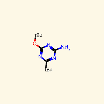 CC(C)(C)Oc1nc(N)nc(C(C)(C)C)n1